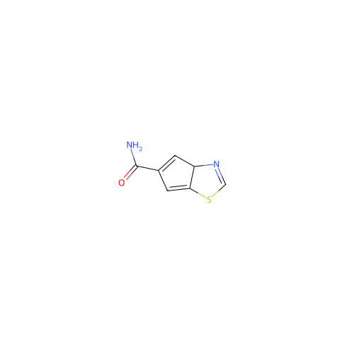 NC(=O)C1=CC2N=CSC2=C1